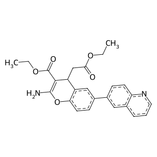 CCOC(=O)CC1C(C(=O)OCC)=C(N)Oc2ccc(-c3ccc4ncccc4c3)cc21